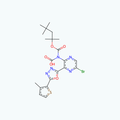 Cc1ccsc1-c1nnc(-c2nc(Br)cnc2N(C(=O)O)C(=O)OC(C)(C)CC(C)(C)C)o1